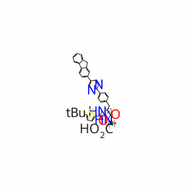 C[C@@H](NC(=O)[C@H](Cc1ccc(-c2ncc(-c3ccc4c(c3)Cc3ccccc3-4)cn2)cc1)NC(=O)c1ccc(C(C)(C)C)s1)C(=O)O